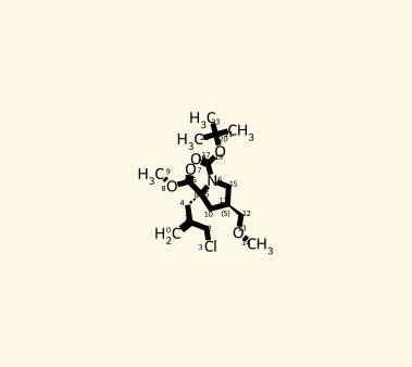 C=C(CCl)C[C@@]1(C(=O)OC)C[C@H](COC)CN1C(=O)OC(C)(C)C